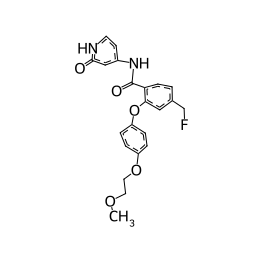 COCCOc1ccc(Oc2cc(CF)ccc2C(=O)Nc2cc[nH]c(=O)c2)cc1